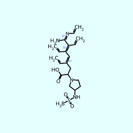 BS(=O)(=O)NC1CCN(C(C/C(C=C)=C/C(C=C)=C(C=C)/C(N)=N\C=C)C(=O)O)C1